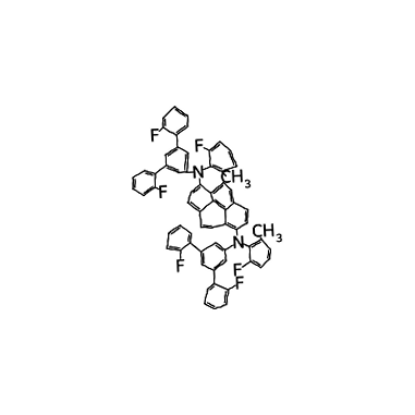 Cc1cccc(F)c1N(c1cc(-c2ccccc2F)cc(-c2ccccc2F)c1)c1ccc2ccc3c(N(c4cc(-c5ccccc5F)cc(-c5ccccc5F)c4)c4c(C)cccc4F)ccc4ccc1c2c43